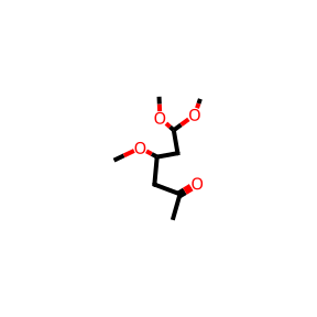 COC(CC(C)=O)CC(OC)OC